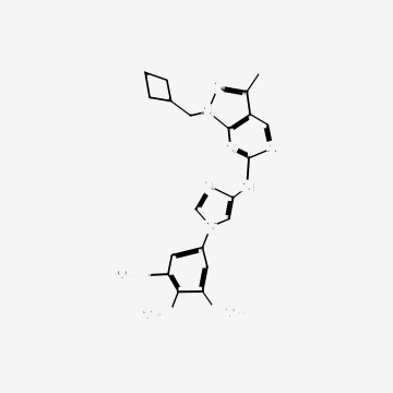 COc1cc(-n2cnc(Nc3ncc4c(C)nn(CC5CCC5)c4n3)c2)cc(OC)c1OC